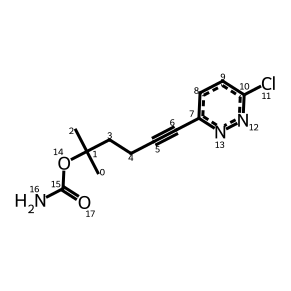 CC(C)(CCC#Cc1ccc(Cl)nn1)OC(N)=O